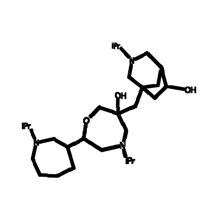 CC(C)N1CCCCC(C2CN(C(C)C)CC(O)(CC34CC(O)C(CN(C(C)C)C3)C4)CO2)C1